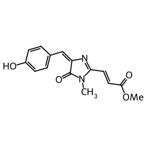 COC(=O)C=CC1=NC(=Cc2ccc(O)cc2)C(=O)N1C